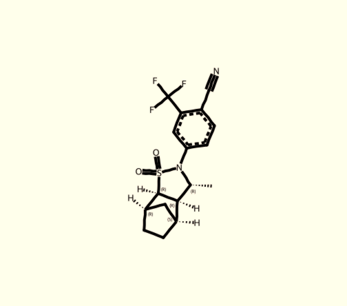 C[C@@H]1[C@H]2[C@H]3CC[C@H](C3)[C@H]2S(=O)(=O)N1c1ccc(C#N)c(C(F)(F)F)c1